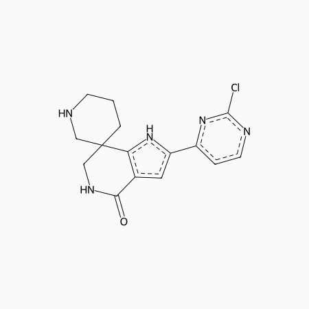 O=C1NCC2(CCCNC2)c2[nH]c(-c3ccnc(Cl)n3)cc21